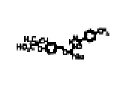 CCCCC(OCc1ccc(OC(C)(C)C(=O)O)cc1)c1nnc(-c2ccc(C(F)(F)F)cc2)o1